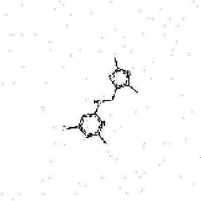 Cc1nc(Cl)cc(NCc2sc(C)nc2C)n1